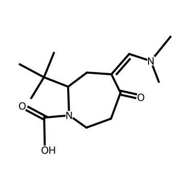 CN(C)C=C1CC(C(C)(C)C)N(C(=O)O)CCC1=O